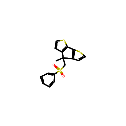 CC1(CS(=O)(=O)c2ccccc2)c2ccsc2-c2sccc21